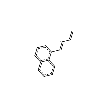 C=C[C]=Cc1cccc2ccccc12